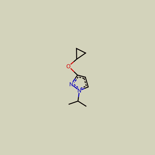 CC(C)n1ccc(OC2CC2)n1